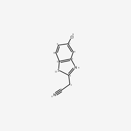 N#CCc1nc2cc(Cl)ccc2s1